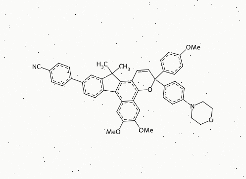 COc1ccc(C2(c3ccc(N4CCOCC4)cc3)C=Cc3c4c(c5cc(OC)c(OC)cc5c3O2)-c2ccc(-c3ccc(C#N)cc3)cc2C4(C)C)cc1